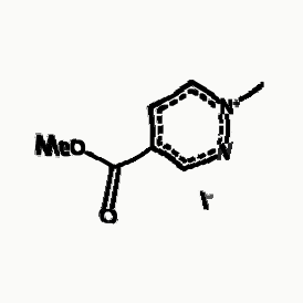 COC(=O)c1cc[n+](C)nc1.[I-]